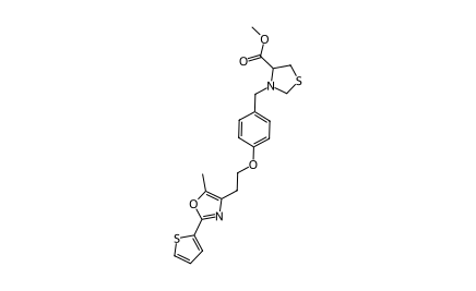 COC(=O)C1CSCN1Cc1ccc(OCCc2nc(-c3cccs3)oc2C)cc1